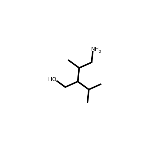 CC(C)C(CO)C(C)CN